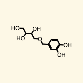 OCC(O)C(O)COCc1ccc(O)c(O)c1